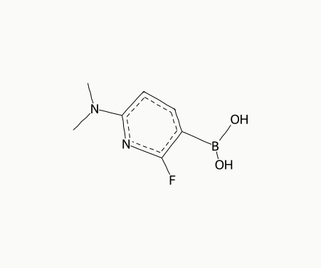 CN(C)c1ccc(B(O)O)c(F)n1